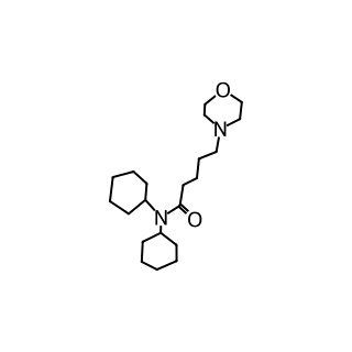 O=C(CCCCN1CCOCC1)N(C1CCCCC1)C1CCCCC1